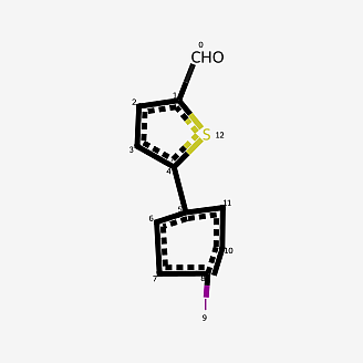 O=Cc1ccc(-c2ccc(I)cc2)s1